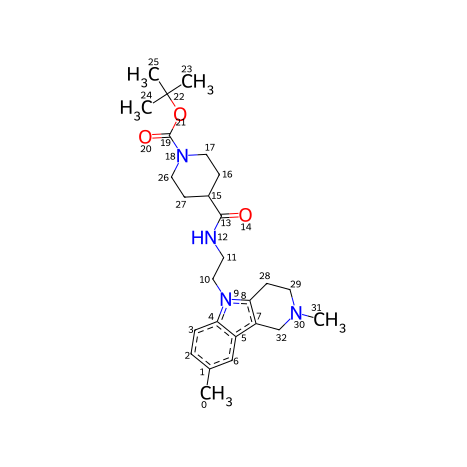 Cc1ccc2c(c1)c1c(n2CCNC(=O)C2CCN(C(=O)OC(C)(C)C)CC2)CCN(C)C1